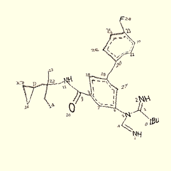 CC(C)(C)C(=N)N(C=N)c1cc(C(=O)NC(C)(C)C2CC2)cc(-c2ccc(F)cc2)c1